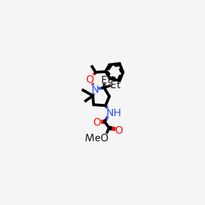 CCC1(CC)CC(NC(=O)C(=O)OC)CC(C)(C)N1OC(C)c1ccccc1